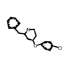 Clc1ccc(OC2CC[N]C(Cc3ccccc3)C2)cc1